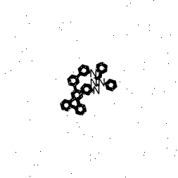 c1ccc(-n2c3c4ccccc4n(-c4cccc(-c5cccc(-c6ccc7c8ccccc8c8ccccc8c7c6)c5)c4)c3n3c4ccccc4nc23)cc1